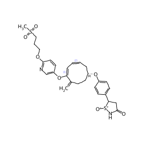 C=C1CC[C@@H](Oc2ccc(C3CC(=O)N[S+]3[O-])cc2)C/C=C\C=C/1Oc1ccc(OCCCS(C)(=O)=O)nc1